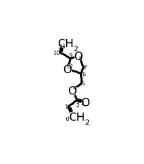 C=CC(=O)OCC1COC(C=C)O1